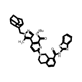 Cc1c(-c2ccc(N3CCc4cccc(C(=O)Nc5nc6ccccc6s5)c4C3)nc2C(=O)OC(C)(C)C)cnn1CC1C2CC3CC(C2)CC1C3